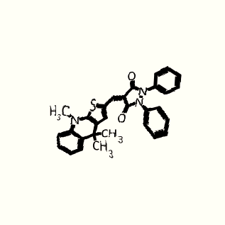 CN1c2ccccc2C(C)(C)c2cc(C=C3C(=O)N(c4ccccc4)N(c4ccccc4)C3=O)sc21